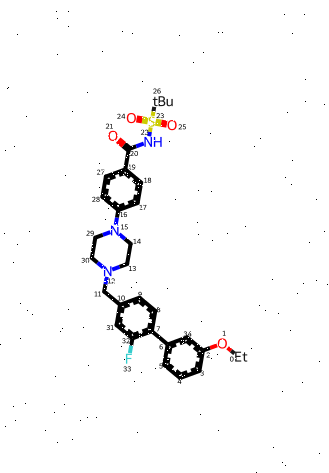 CCOc1cccc(-c2ccc(CN3CCN(c4ccc(C(=O)NS(=O)(=O)C(C)(C)C)cc4)CC3)cc2F)c1